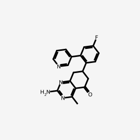 Cc1nc(N)nc2c1C(=O)CC(c1ccc(F)cc1-c1cccnc1)C2